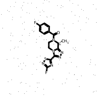 C[C@@H]1c2nnc(-c3nc(F)ns3)n2CCN1C(=O)c1ccc(F)cc1